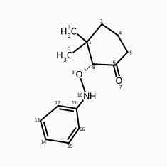 CC1(C)CCCC(=O)[C@@H]1ONc1ccccc1